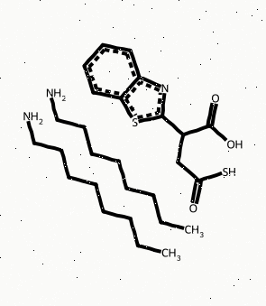 CCCCCCCCN.CCCCCCCCN.O=C(S)CC(C(=O)O)c1nc2ccccc2s1